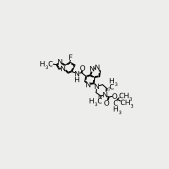 Cc1cn2cc(NC(=O)c3cnc(N4C[C@@H](C)N(C(=O)OC(C)(C)C)[C@@H](C)C4)c4ccnnc34)cc(F)c2n1